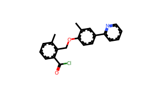 Cc1cc(-c2ccccn2)ccc1OCc1c(C)cccc1C(=O)Cl